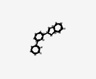 C1=C(c2cccc(-c3ccccc3)c2)Cc2ccccc21